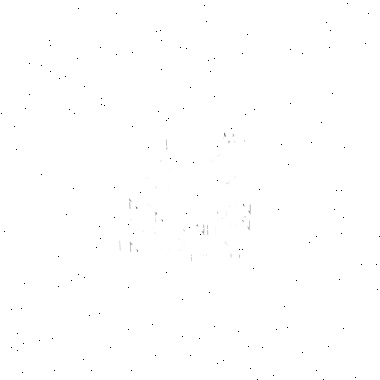 COc1ccc(-c2nnc(C(=O)[C@@H](NC(=O)Cn3c(-c4ccc(F)cc4)ncc(N)c3=O)C(C)C)o2)cc1